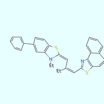 CCC(=Cc1nc2c(ccc3ccccc32)s1)C=C1Sc2ccc(-c3ccccc3)cc2N1CC